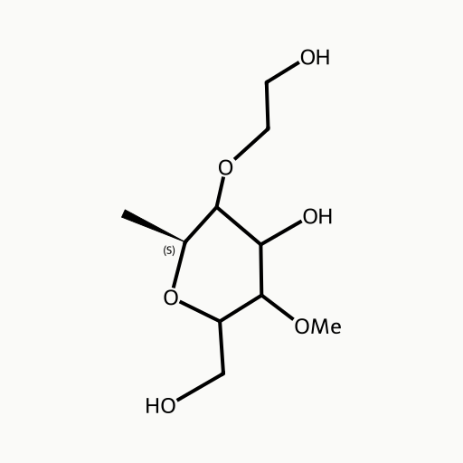 COC1C(CO)O[C@@H](C)C(OCCO)C1O